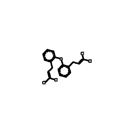 ClC(Cl)=CCc1ccccc1Oc1ccccc1CC=C(Cl)Cl